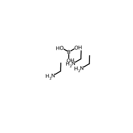 CCN.CCN.CCN.OB(O)O